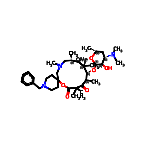 CO[C@]1(C)C[C@@H](C)CN(C)CC2(CCN(Cc3ccccc3)CC2)OC(=O)C(C)(C)C(=O)[C@H](C)[C@H]1O[C@@H]1O[C@H](C)C[C@H](N(C)C)[C@H]1O